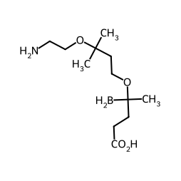 BC(C)(CCC(=O)O)OCCC(C)(C)OCCN